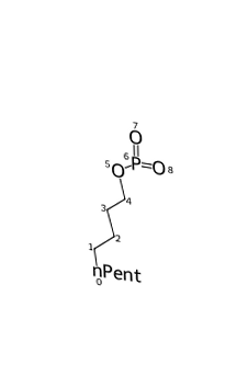 CCCCCCCCCOP(=O)=O